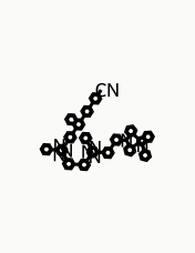 N#Cc1ccc(-c2ccc(-c3ccc(-c4ccc(-c5nc(-c6ccccc6)nc(-c6cccc(-c7cccc(-c8nc(-c9ccccc9)nc(-c9cccc(-c%10cccc(N%11c%12ccccc%12-c%12c(n(-c%13ccccc%13)c%13ccccc%12%13)-c%12ccccc%12%11)c%10)c9)n8)c7)c6)n5)cc4)c4ccccc34)cc2)cc1